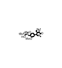 COc1cc(-c2cn(C)c(=O)c3c2cnn3C)cc(OC)c1CN(C)C(O)OC(C)(C)C